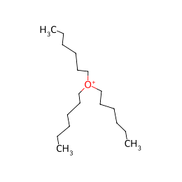 CCCCCC[O+](CCCCCC)CCCCCC